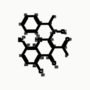 CC(=O)c1c([S+]([O-])C(C)c2ccccc2)[nH]c2c(Br)ccc(Cl)c2c1=O